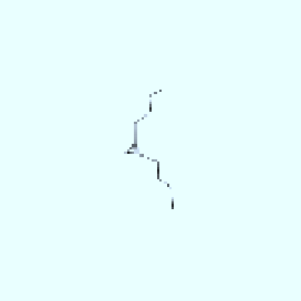 CCCCC1=C(CCCC)C1